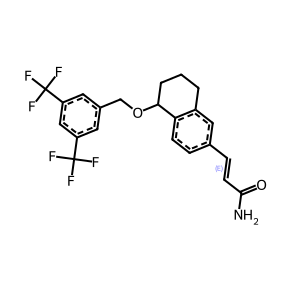 NC(=O)/C=C/c1ccc2c(c1)CCCC2OCc1cc(C(F)(F)F)cc(C(F)(F)F)c1